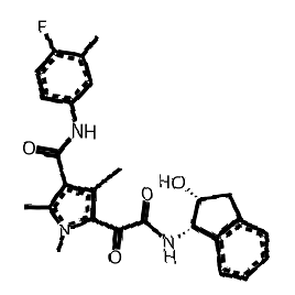 Cc1cc(NC(=O)c2c(C)c(C(=O)C(=O)N[C@H]3c4ccccc4C[C@H]3O)n(C)c2C)ccc1F